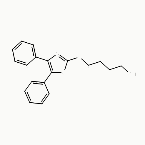 OCCCCSc1nc(-c2ccccc2)c(-c2ccccc2)o1